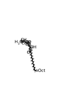 CCCCCCCC/C=C\CCCCCCCCCCCC(=O)OC[C@@H](O)COP(=O)([O-])OCC[N+](C)(C)C